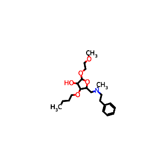 CCCCOC1C(CN(C)CCc2ccccc2)OC(OCCOC)C1O